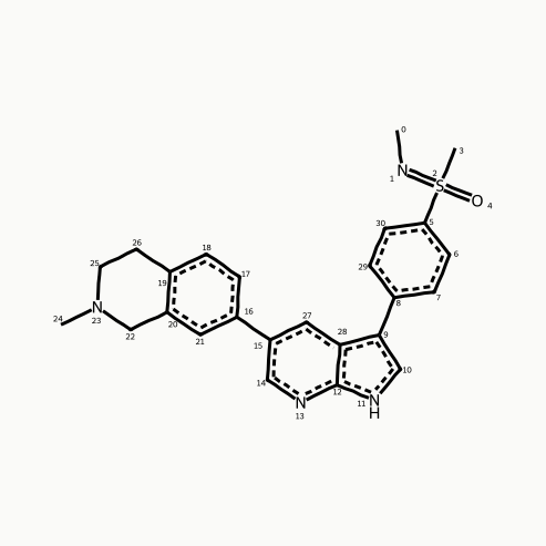 CN=S(C)(=O)c1ccc(-c2c[nH]c3ncc(-c4ccc5c(c4)CN(C)CC5)cc23)cc1